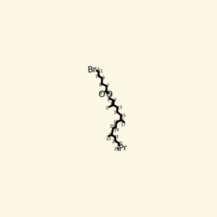 C/C(=C\COC(=O)CCCCCBr)CCCC(C)CCCC(C)CCCC(C)C